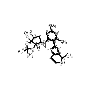 CSc1nc(C)c(-c2nc3c(s2)C=CNC3C)c(N[C@@H]2C[C@H](C=O)[C@H]3OC(C)(C)O[C@H]32)n1